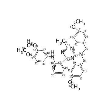 COc1ccc(CN(Cc2ccc(OC)cc2)c2nc(C)nc(-c3cccnc3Nc3ccc(OC)c(OC)c3)n2)cc1